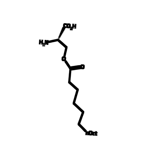 CCCCCCCCCCCCCC(=O)OC[C@H](N)C(=O)O